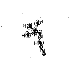 CN(CNC(=O)c1cc(OCCCS(=O)(=O)O)c(OCCCS(=O)(=O)O)c(OCCCS(=O)(=O)O)c1)OCCC(C)(C)NC(=O)c1ccc(/N=N/c2ccccc2)cc1